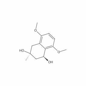 COc1ccc(OC)c2c1C[C@](C)(O)C[C@@H]2O